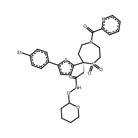 CCc1ccc(-c2ccc([C@@]3(CC(=O)NOC4CCCCO4)CCN(C(=O)c4ccccn4)CCS3(=O)=O)s2)cc1